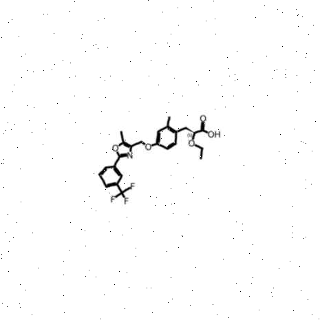 CCO[C@@H](Cc1ccc(OCc2nc(-c3cccc(C(F)(F)F)c3)oc2C)cc1C)C(=O)O